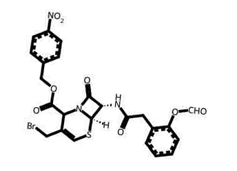 O=COc1ccccc1CC(=O)N[C@H]1C(=O)N2C(C(=O)OCc3ccc([N+](=O)[O-])cc3)C(CBr)=CS[C@H]12